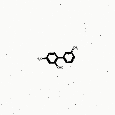 Cc1cccc(-c2ccc(C)cc2C=O)c1